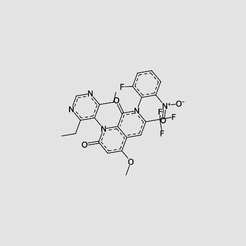 CCc1ncnc(CC)c1-n1c(=O)cc(OC)c2cc(C(F)(F)F)n(-c3c(F)cccc3[N+](=O)[O-])c(=O)c21